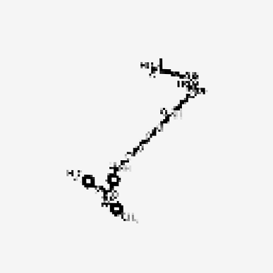 Cc1ccc(SCC(CS(=O)(=O)c2ccc(C)cc2)C(=O)c2ccc(C(=O)NCCOCCOCCOCCOCCC(=O)NCCCCCOP(=O)(O)OP(=O)(O)OCCCCCNC(=O)O)cc2)cc1